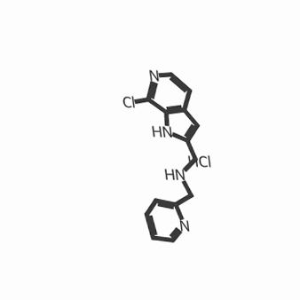 Cl.Clc1nccc2cc(CNCc3ccccn3)[nH]c12